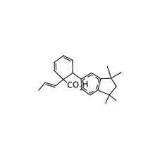 CC=CC1(C(=O)O)C=CC=CC1c1ccc2c(c1)C(C)(C)CC2(C)C